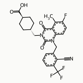 Cc1c(F)ccc2c1c(=O)n(C[C@H]1CC[C@H](C(=O)O)CC1)c(=O)n2Cc1cccc(C(F)(F)F)c1C#N